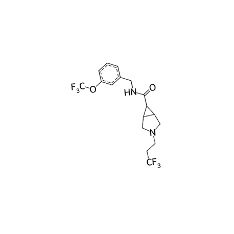 O=C(NCc1cccc(OC(F)(F)F)c1)C1C2CN(CCC(F)(F)F)CC21